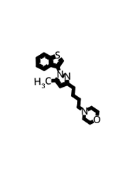 Cc1cc(CCCCN2CCOCC2)nn1-c1csc2ccccc12